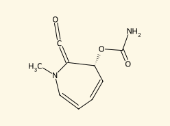 CN1C=CC=C[C@@H](OC(N)=O)C1=C=O